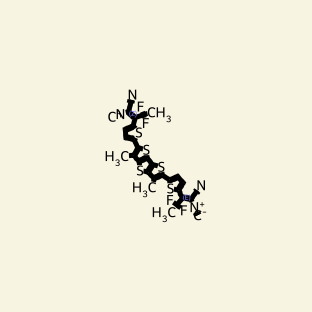 [C-]#[N+]/C(C#N)=C(\c1ccc(-c2sc3c(sc4c(C)c(-c5ccc(/C(=C(\C#N)[N+]#[C-])C(C)(F)F)s5)sc43)c2C)s1)C(C)(F)F